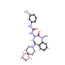 CCCN1C(=O)[C@H](NC(=O)Nc2cccc(C)c2)N=C(N2CCC3(CC2)OCCO3)c2ccccc21